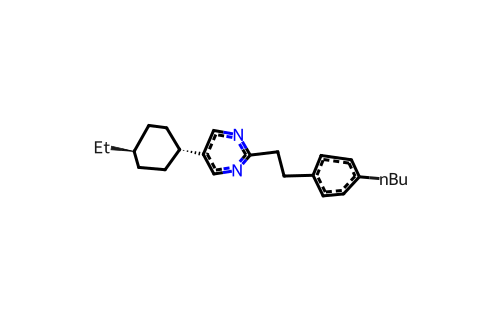 CCCCc1ccc(CCc2ncc([C@H]3CC[C@H](CC)CC3)cn2)cc1